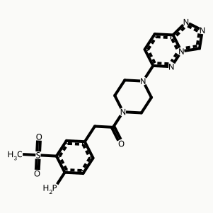 CS(=O)(=O)c1cc(CC(=O)N2CCN(c3ccc4nncn4n3)CC2)ccc1P